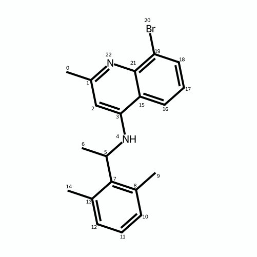 Cc1cc(NC(C)c2c(C)cccc2C)c2cccc(Br)c2n1